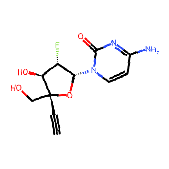 C#C[C@]1(CO)O[C@@H](n2ccc(N)nc2=O)[C@@H](F)[C@@H]1O